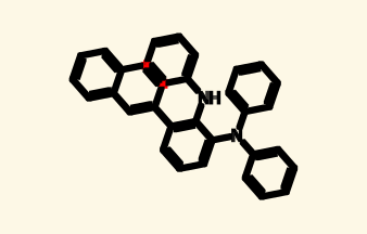 c1ccc(Nc2c(-c3ccc4ccccc4c3)cccc2N(c2ccccc2)c2ccccc2)cc1